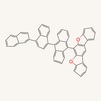 c1ccc2cc(-c3ccc(-c4c5ccccc5c(-c5c6oc7ccccc7c6cc6c5oc5ccccc56)c5ccccc45)c4ccccc34)ccc2c1